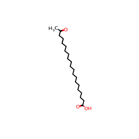 CC(=O)CCCCCCCCCCCCCCCCCCC(=O)O